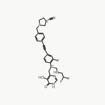 N#C[C@@H]1CCN(Cc2ccc(C#Cc3ccc([C@@H](CNCC(F)F)Cc4nc[nH]c(=O)c4O)c(F)c3)cc2)C1